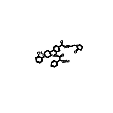 COC(C(=O)Nc1cc(C(=O)NCCCN2CCCC2=O)ccc1N1CCN(c2ccccc2C)CC1)c1ccccc1